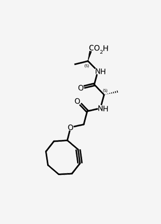 C[C@H](NC(=O)[C@H](C)NC(=O)COC1C#CCCCCC1)C(=O)O